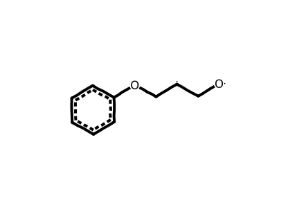 [O]C[CH]COc1ccccc1